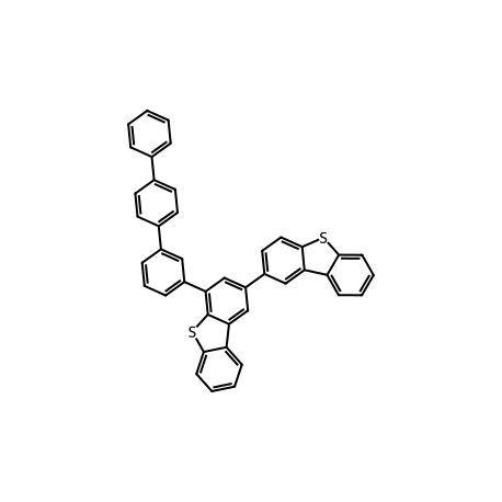 c1ccc(-c2ccc(-c3cccc(-c4cc(-c5ccc6sc7ccccc7c6c5)cc5c4sc4ccccc45)c3)cc2)cc1